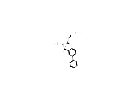 CCCN(C(=O)NCC(=O)O)C(=O)c1cccc(-c2ccccc2)c1